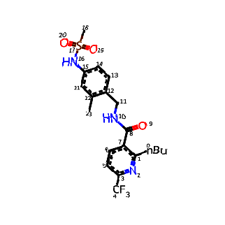 CCCCc1nc(C(F)(F)F)ccc1C(=O)NCc1ccc(NS(C)(=O)=O)cc1C